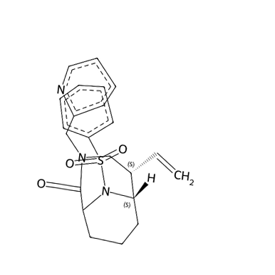 C=C[C@H]1CN(Cc2ccccn2)C(=O)C2CCC[C@@H]1N2S(=O)(=O)c1ccccc1